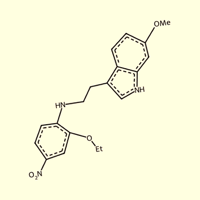 CCOc1cc([N+](=O)[O-])ccc1NCCc1c[nH]c2cc(OC)ccc12